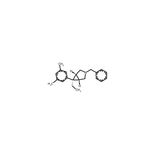 CC[C@]1(c2cc(C)cc(C)c2)[C@@H]2CN(Cc3ccccc3)C[C@@H]21